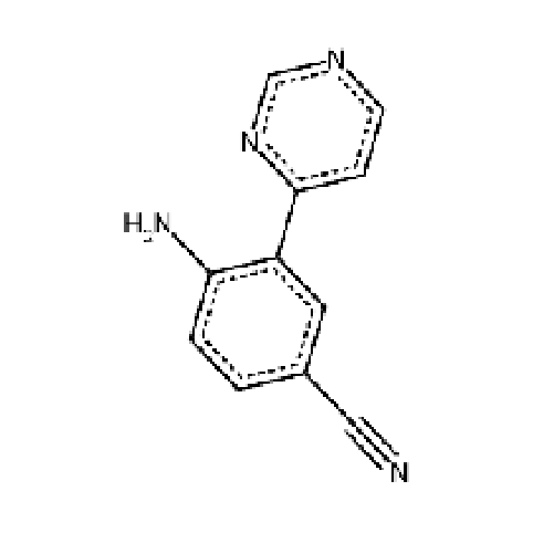 N#Cc1ccc(N)c(-c2ccncn2)c1